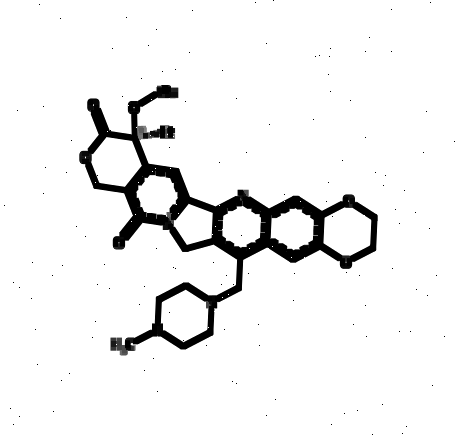 CC[C@@]1(OC(C)(C)C)C(=O)OCc2c1cc1n(c2=O)Cc2c-1nc1cc3c(cc1c2CN1CCN(C)CC1)OCCO3